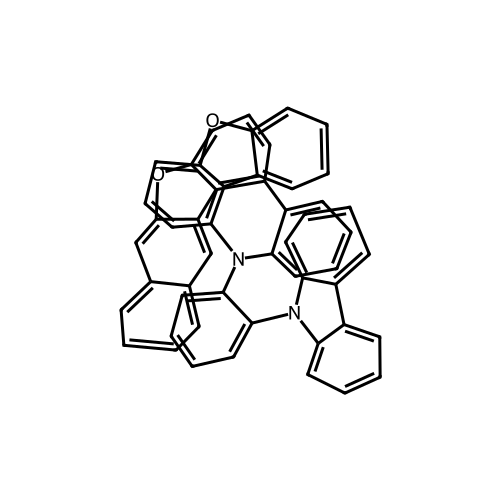 c1ccc(N(c2ccccc2-n2c3ccccc3c3ccccc32)c2cccc3oc4ccccc4c23)c(-c2cccc3oc4cc5ccccc5cc4c23)c1